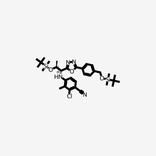 Cc1c(N[C@@H](c2nnc(-c3ccc(CO[Si](C)(C)C(C)(C)C)cc3)o2)[C@H](C)O[Si](C)(C)C(C)(C)C)ccc(C#N)c1Cl